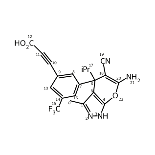 Cc1n[nH]c2c1C(c1cc(C#CC(=O)O)cc(C(F)(F)F)c1)(C(C)C)C(C#N)=C(N)O2